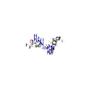 Nc1nc(NCCNc2nc(-c3ccc(C(F)(F)F)cc3)nn3ncnc23)ccc1C(=O)C(F)(F)F